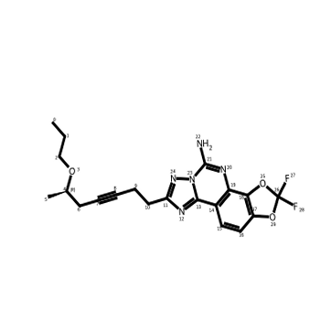 CCCO[C@H](C)CC#CCCc1nc2c3ccc4c(c3nc(N)n2n1)OC(F)(F)O4